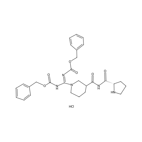 Cl.O=C(N=C(NC(=O)OCc1ccccc1)N1CCCC(C(=O)NC(=O)[C@@H]2CCCN2)C1)OCc1ccccc1